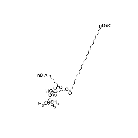 CCCCCCCCCCCCCCCCCCCCCCCCCCCCCCCCCCCC(=O)OCC(COP(=O)(O)OCC[N+](C)(C)C)OC(=O)CCCCCCCCCCCCCCC